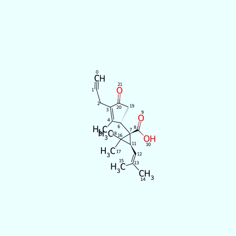 C#CCC1=C(C)[C@@H]([C@]2(C(=O)O)[C@@H](C=C(C)C)C2(C)C)CC1=O